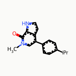 CC(C)c1ccc(-c2cn(C)c(=O)c3[nH]ccc23)cc1